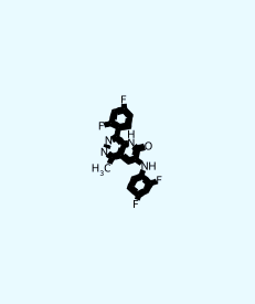 Cc1nnc(-c2ccc(F)cc2F)c2[nH]c(=O)c(Nc3ccc(F)cc3F)cc12